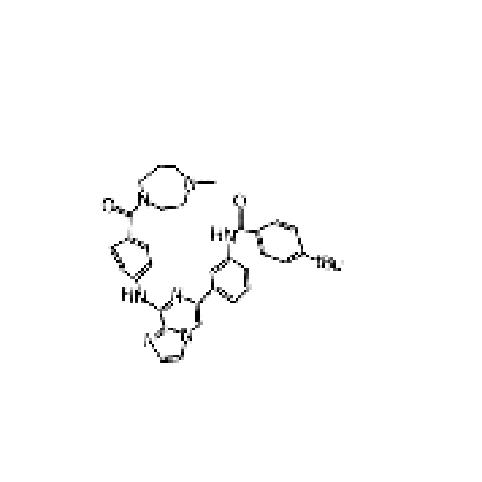 CN1CCCN(C(=O)c2ccc(Nc3nc(-c4cccc(NC(=O)c5ccc(C(C)(C)C)cc5)c4)cn4ccnc34)cc2)CC1